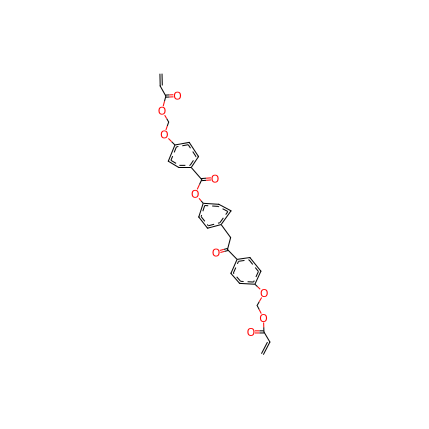 C=CC(=O)OCOc1ccc(C(=O)Cc2ccc(OC(=O)c3ccc(OCOC(=O)C=C)cc3)cc2)cc1